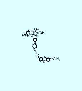 NCCc1ccc(Oc2ccc(OCCCCN3CCN(c4ccc([C@H]5O[C@H](CO)[C@H](O)[C@H](O)[C@H]5Oc5cccc(C(F)(F)F)n5)cc4)CC3)cc2)c(I)c1